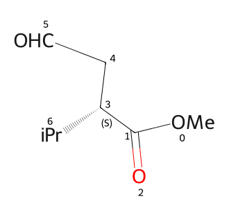 COC(=O)[C@@H](CC=O)C(C)C